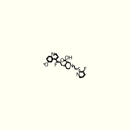 COc1ccc2nccc([C@H](F)CC[C@@H]3CCN(CCSc4ncccc4F)C[C@@H]3C(=O)O)c2c1